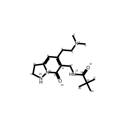 CN(C)CCc1cc2n(c(=O)c1CNC(=O)C(C)(C)C)NCC2